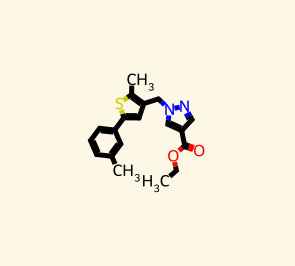 CCOC(=O)c1cnn(Cc2cc(-c3cccc(C)c3)sc2C)c1